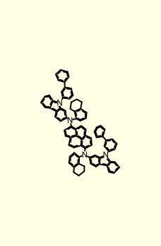 c1ccc(-c2cccc(-n3c4ccccc4c4ccc(N(c5cccc6c5CCCC6)c5ccc6ccc7c(N(c8ccc9c%10ccccc%10n(-c%10cccc(-c%11ccccc%11)c%10)c9c8)c8cccc9c8CCCC9)ccc8ccc5c6c87)cc43)c2)cc1